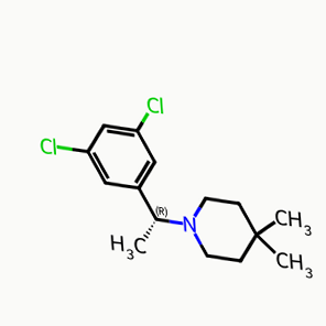 C[C@H](c1cc(Cl)cc(Cl)c1)N1CCC(C)(C)CC1